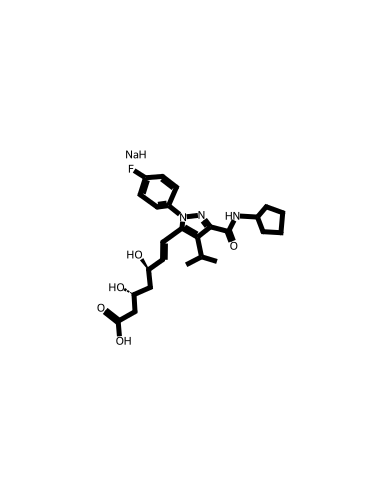 CC(C)c1c(C(=O)NC2CCCC2)nn(-c2ccc(F)cc2)c1C=C[C@H](O)C[C@@H](O)CC(=O)O.[NaH]